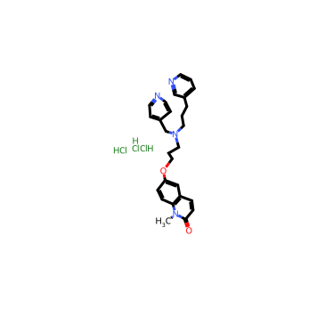 Cl.Cl.Cl.Cn1c(=O)ccc2cc(OCCCN(CCCc3cccnc3)Cc3ccncc3)ccc21